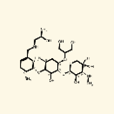 CN[C@@H]1[C@@H](O)[C@@H](O[C@H]2[C@H](NC(CO)CO)C[C@H](N)C(O[C@H]3OC(CNCC(N)O)=CC[C@H]3N)[C@@H]2O)OC[C@]1(C)O